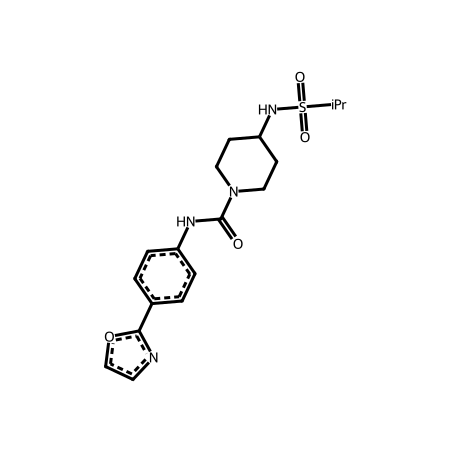 CC(C)S(=O)(=O)NC1CCN(C(=O)Nc2ccc(-c3ncco3)cc2)CC1